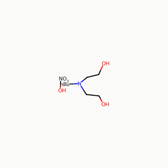 CCCCN(CCO)CCO.O=[N+]([O-])O